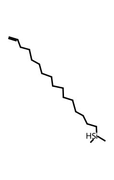 C=CCCCCCCCCCCCCCC[SiH](C)C